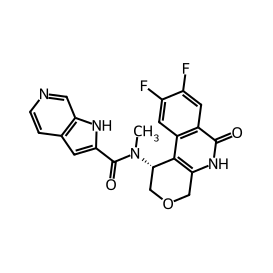 CN(C(=O)c1cc2ccncc2[nH]1)[C@H]1COCc2[nH]c(=O)c3cc(F)c(F)cc3c21